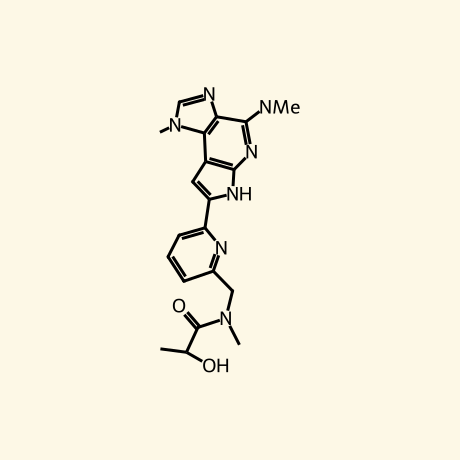 CNc1nc2[nH]c(-c3cccc(CN(C)C(=O)C(C)O)n3)cc2c2c1ncn2C